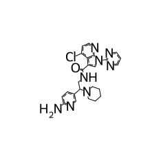 Nc1ccc(C(CNC(=O)c2cn(-c3ncccn3)c3nccc(Cl)c23)N2CCCCC2)cn1